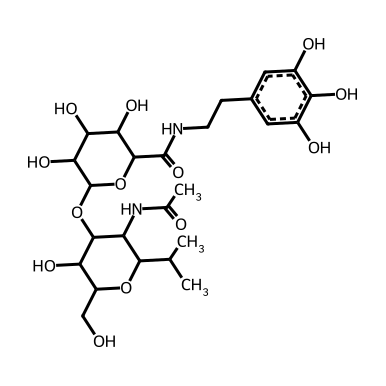 CC(=O)NC1C(C(C)C)OC(CO)C(O)C1OC1OC(C(=O)NCCc2cc(O)c(O)c(O)c2)C(O)C(O)C1O